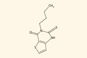 CCCCn1c(=S)[nH]c2ccsc2c1=O